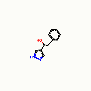 OC(Cc1ccccc1)c1cn[nH]c1